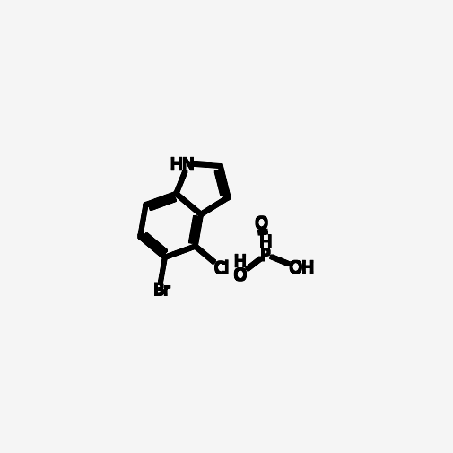 Clc1c(Br)ccc2[nH]ccc12.O=[PH](O)O